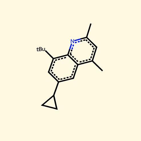 Cc1cc(C)c2cc(C3CC3)cc(C(C)(C)C)c2n1